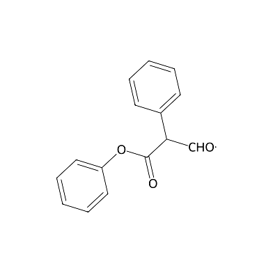 O=[C]C(C(=O)Oc1ccccc1)c1ccccc1